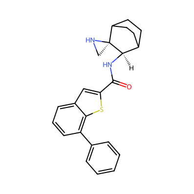 O=C(N[C@@H]1C2CCC(CC2)[C@@]12CN2)c1cc2cccc(-c3ccccc3)c2s1